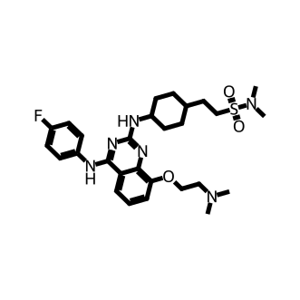 CN(C)CCOc1cccc2c(Nc3ccc(F)cc3)nc(NC3CCC(CCS(=O)(=O)N(C)C)CC3)nc12